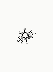 Cc1c(C)c(C(C)(C)C)c(C)c2c1CC=N2